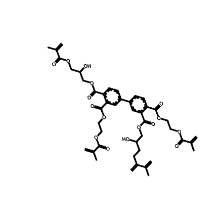 C=C(C)C(=C)CCC(O)COC(=O)c1cc(-c2ccc(C(=O)OCC(O)COC(=O)C(=C)C)c(C(=O)OCCOC(=O)C(=C)C)c2)ccc1C(=O)OCCOC(=O)C(=C)C